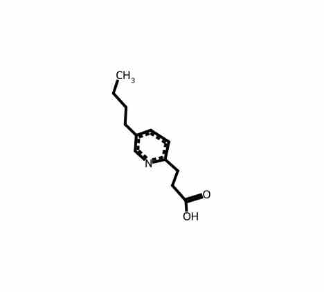 CCCCc1ccc(CCC(=O)O)nc1